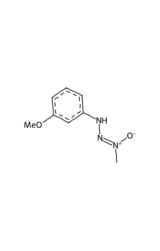 COc1cccc(NN=[N+](C)[O-])c1